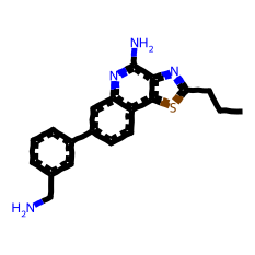 CCCc1nc2c(N)nc3cc(-c4cccc(CN)c4)ccc3c2s1